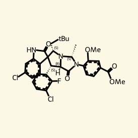 COC(=O)c1ccc(N2C(=O)[C@H]3[C@H](c4cccc(Cl)c4F)C4(C(=O)Nc5cc(Cl)ccc54)[C@H](CC(C)(C)C)N3[C@@H]2C)c(OC)c1